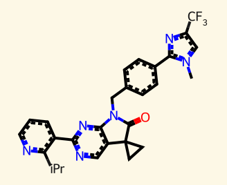 CC(C)c1ncccc1-c1ncc2c(n1)N(Cc1ccc(-c3nc(C(F)(F)F)cn3C)cc1)C(=O)C21CC1